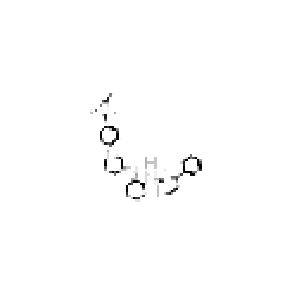 Cc1noc(-c2ccc(N3CCC[C@H](N[C@@H]4CCCC[C@H]4Nc4nccc(-c5ccccc5)n4)C3)cc2)n1